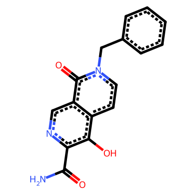 NC(=O)c1ncc2c(=O)n(Cc3ccccc3)ccc2c1O